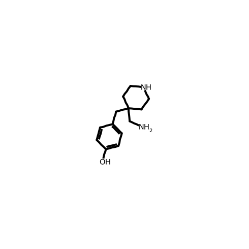 NCC1(Cc2ccc(O)cc2)CCNCC1